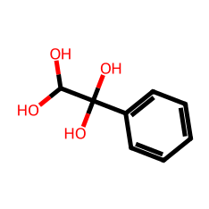 OC(O)C(O)(O)c1ccccc1